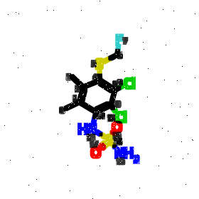 Cc1c(C)c(SCF)c(Cl)c(Cl)c1NS(N)(=O)=O